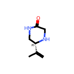 C=C(C)[C@@H]1CNC(=O)CN1